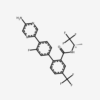 C[C@H](NC(=O)c1cc(C(F)(F)F)ccc1-c1ccc(-c2cnc(N)cn2)c(F)c1)C(F)(F)F